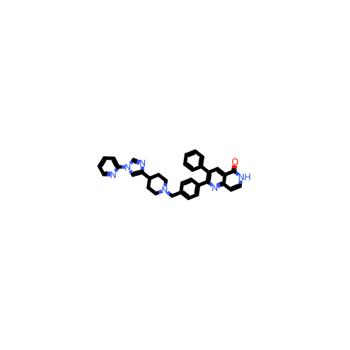 O=c1[nH]ccc2nc(-c3ccc(CN4CCC(c5cn(-c6ccccn6)cn5)CC4)cc3)c(-c3ccccc3)cc12